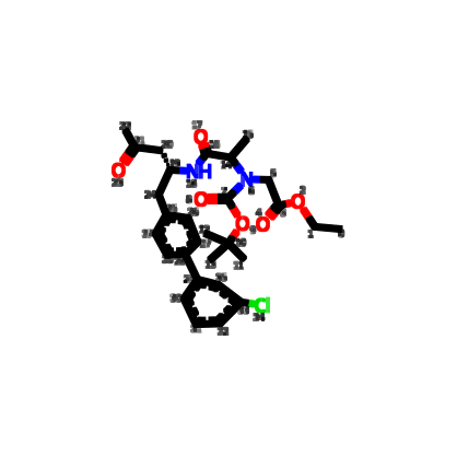 CCOC(=O)CN(C(=O)OC(C)(C)C)C(C)C(=O)N[C@@H](CC(C)=O)Cc1ccc(-c2cccc(Cl)c2)cc1